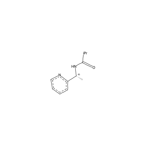 CC(C)C(=O)N[C@H](C)c1ccccn1